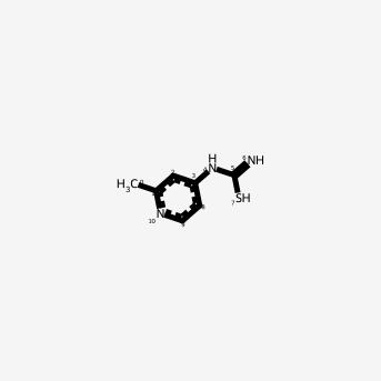 Cc1cc(NC(=N)S)ccn1